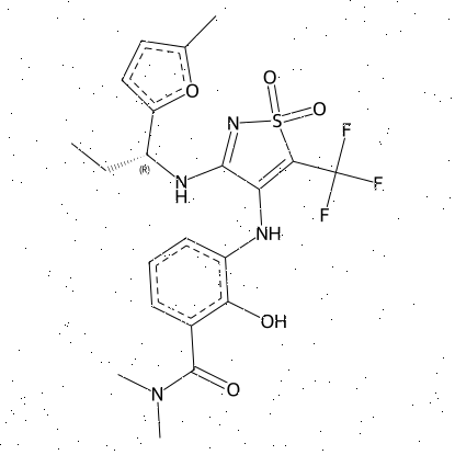 CC[C@@H](NC1=NS(=O)(=O)C(C(F)(F)F)=C1Nc1cccc(C(=O)N(C)C)c1O)c1ccc(C)o1